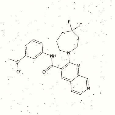 C[S+]([O-])c1cccc(NC(=O)c2cc3ccncc3nc2N2CCCC(F)(F)CC2)c1